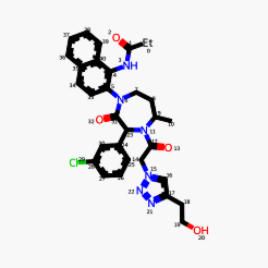 CCC(=O)Nc1c(N2CCC(C)N(C(=O)Cn3cc(CCO)nn3)C(c3cccc(Cl)c3)C2=O)ccc2ccccc12